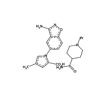 CC(C)N1CCC(C(N)=O)CC1.Cc1cc(C(=O)O)n(-c2ccc3onc(N)c3c2)c1